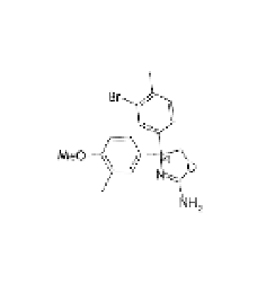 COc1ccc([C@]2(c3ccc(C)c(Br)c3)COC(N)=N2)cc1C